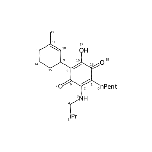 CCCCCC1=C(NCC(C)C)C(=O)C(C2C=C(C)CCC2)=C(O)C1=O